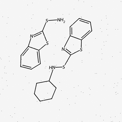 NSc1nc2ccccc2s1.c1ccc2sc(SNC3CCCCC3)nc2c1